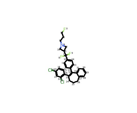 FCCCN1CC(C(F)(F)c2ccc(C3=C(c4ccc(Cl)cc4Cl)CCCc4ccccc43)cc2)C1